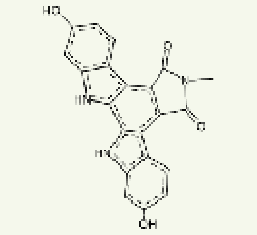 CN1C(=O)c2c(c3c4ccc(O)cc4[nH]c3c3[nH]c4cc(O)ccc4c23)C1=O